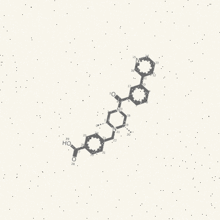 C[C@@H]1CN(C(=O)c2cccc(-c3cccnc3)c2)C[C@H](C)N1Cc1ccc(C(=O)O)cc1